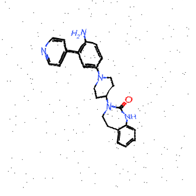 Nc1ccc(N2CCC(N3CCc4ccccc4NC3=O)CC2)cc1-c1ccncc1